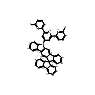 Cc1cccc(-c2cc(-n3c4ccccc4c4cc5c(cc43)-c3ccccc3C53c4ccccc4-c4ccccc43)cc(-c3cccc(C)n3)n2)n1